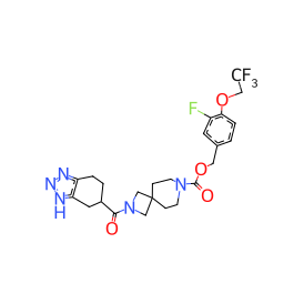 O=C(OCc1ccc(OCC(F)(F)F)c(F)c1)N1CCC2(CC1)CN(C(=O)C1CCc3nn[nH]c3C1)C2